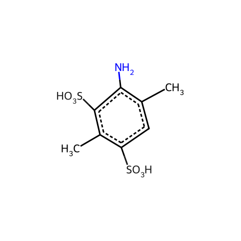 Cc1cc(S(=O)(=O)O)c(C)c(S(=O)(=O)O)c1N